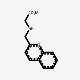 CCOC(=O)CNCc1ccc2ccccc2n1